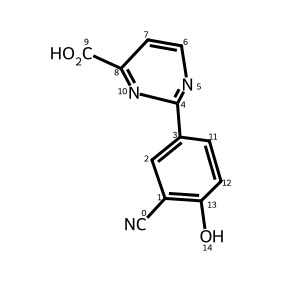 N#Cc1cc(-c2nccc(C(=O)O)n2)ccc1O